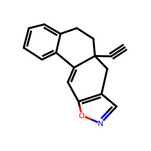 C#CC12CCc3ccccc3C1=Cc1oncc1C2